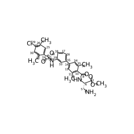 COC(=O)[C@H](CN)NC(=O)c1c(C)cc(-c2cccc(NS(=O)(=O)c3cc(C)c(Cl)cc3C)c2)cc1C